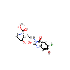 CC(C)(C)OC(=O)N1CCC[C@H](O)[C@H]1C[C@@H](O)CN1C=NC2C=C(Br)C(Cl)=CC2C1=O